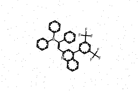 FC(F)(F)c1cc(-c2cc(C=C(B(c3ccccc3)c3ccccc3)c3ccccc3)nc3ccccc23)cc(C(F)(F)F)c1